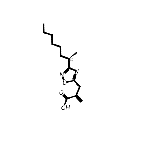 C=C(Cc1nc([C@H](C)CCCCCC)no1)C(=O)O